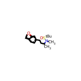 C[C@@H](CCc1ccc2ccoc2c1)N(C)[S+]([O-])C(C)(C)C